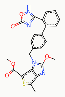 COC(=O)c1sc(C)c2nc(OC)n(Cc3ccc(-c4ccccc4-c4nc(=O)o[nH]4)cc3)c12